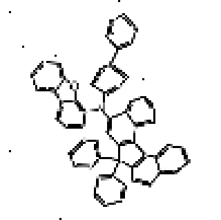 c1ccc(-c2ccc(N(c3cc4c(c5ccccc35)-c3c(ccc5ccccc35)C4(c3ccccc3)c3ccccc3)c3cccc4c3oc3ccccc34)cc2)cc1